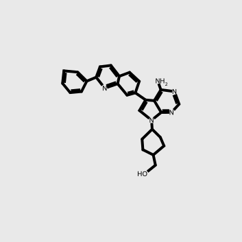 Nc1ncnc2c1c(-c1ccc3ccc(-c4ccccc4)nc3c1)cn2C1CCC(CO)CC1